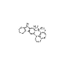 C[Si]1(C)c2cc3[nH]c4ccccc4c3cc2-c2cccc3cccc1c23